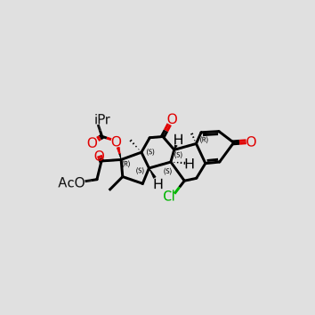 CC(=O)OCC(=O)[C@@]1(OC(=O)C(C)C)C(C)C[C@H]2[C@@H]3C(Cl)CC4=CC(=O)C=C[C@]4(C)[C@H]3C(=O)C[C@@]21C